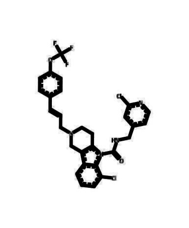 O=C(NCc1ccnc(Cl)c1)n1c2c(c3cccc(Cl)c31)CN(CC=Cc1ccc(OC(F)(F)F)cc1)CC2